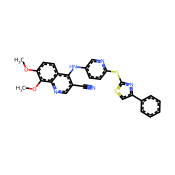 COc1ccc2c(Nc3ccc(Sc4nc(-c5ccccc5)cs4)nc3)c(C#N)cnc2c1OC